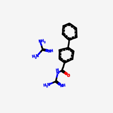 N=C(N)N.N=C(N)NC(=O)c1ccc(-c2ccccc2)cc1